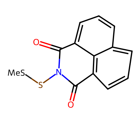 CSSN1C(=O)c2cccc3cccc(c23)C1=O